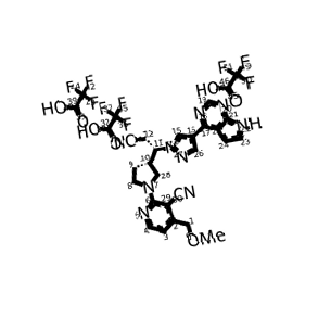 COCc1ccnc(N2CC[C@H]([C@H](CC#N)n3cc(-c4ncnc5[nH]ccc45)cn3)C2)c1C#N.O=C(O)C(F)(F)F.O=C(O)C(F)(F)F.O=C(O)C(F)(F)F